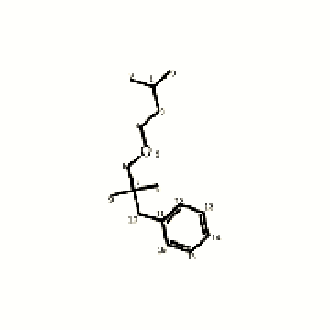 CC(C)CCOCC(C)(C)Cc1ccccc1